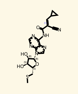 CSC[C@H]1O[C@@H](n2cnc3c(NC(=O)/C(C#N)=C/C4CC4)ncnc32)[C@H](O)[C@@H]1O